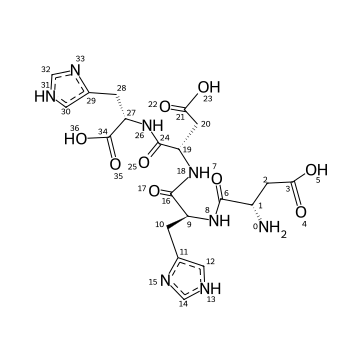 N[C@@H](CC(=O)O)C(=O)N[C@@H](Cc1c[nH]cn1)C(=O)N[C@@H](CC(=O)O)C(=O)N[C@@H](Cc1c[nH]cn1)C(=O)O